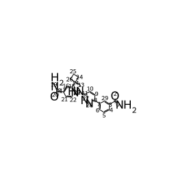 NC(=O)c1cccc(-c2ccc(NCC3(c4cc(C(N)=O)ccn4)CCC3)nn2)c1